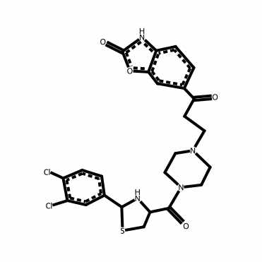 O=C(CCN1CCN(C(=O)C2CSC(c3ccc(Cl)c(Cl)c3)N2)CC1)c1ccc2[nH]c(=O)oc2c1